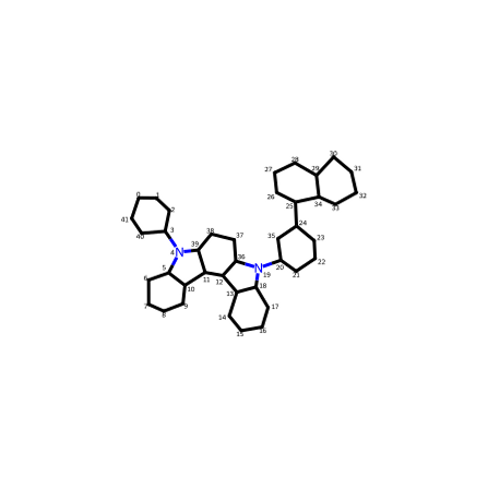 C1CCC(N2C3CCCCC3C3C4C5CCCCC5N(C5CCCC(C6CCCC7CCCCC76)C5)C4CCC32)CC1